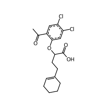 CC(=O)c1cc(Cl)c(Cl)cc1OC(CCC1=CCCCC1)C(=O)O